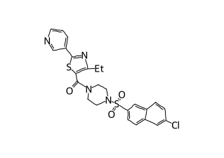 CCc1nc(-c2cccnc2)sc1C(=O)N1CCN(S(=O)(=O)c2ccc3cc(Cl)ccc3c2)CC1